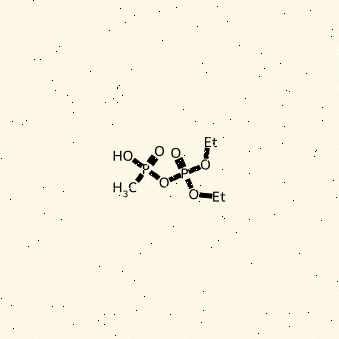 CCOP(=O)(OCC)OP(C)(=O)O